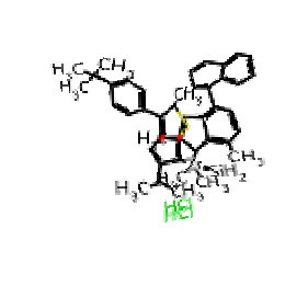 CC1=Cc2c(-c3cccc4ccccc34)ccc(C)c2[CH]1[Zr]([CH3])([CH3])(=[SiH2])[C]1=C2SC(C)C(c3ccc(C(C)(C)C)cc3)=C2C=C1C(C)C.Cl.Cl